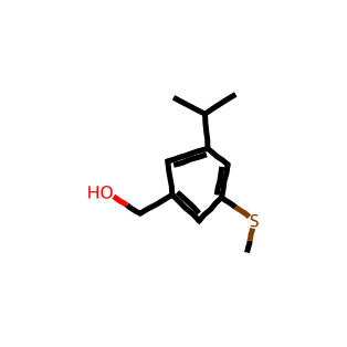 CSc1cc(CO)cc(C(C)C)c1